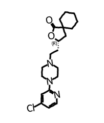 O=C1O[C@@H](CCN2CCN(c3cc(Cl)ccn3)CC2)CC12CCCCC2